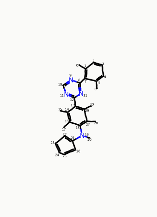 Cc1cccc(C)c1-c1ncnc(-c2c(C)c(C)c(N(C)c3ccccc3)c(C)c2C)n1